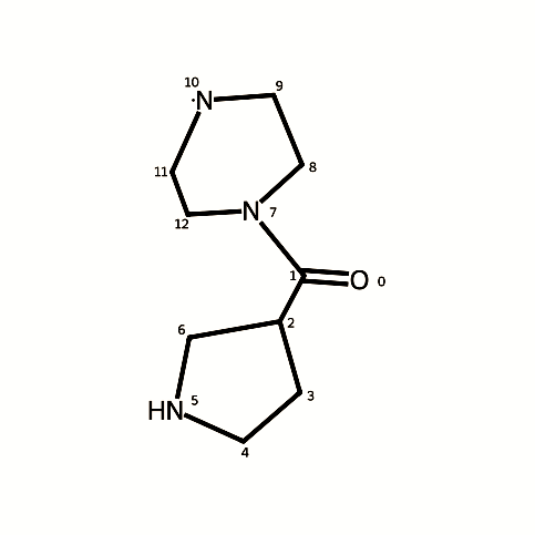 O=C(C1CCNC1)N1CC[N]CC1